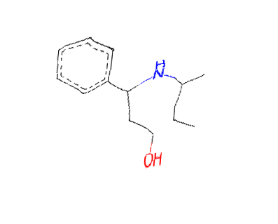 CCC(C)NC(CCO)c1ccccc1